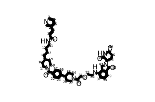 O=C(/C=C/c1cccnc1)NCCCCC1CCN(C(=O)c2ccc(C3CCN(C(=O)COCCNc4cccc5c4CN(C4CCC(=O)NC4=O)C5=O)CC3)cc2)CC1